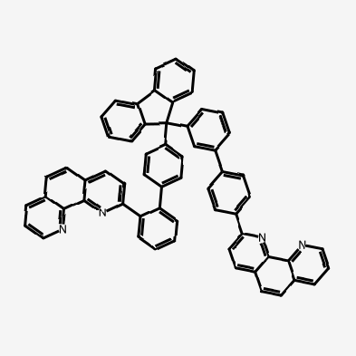 c1cc(-c2ccc(-c3ccc4ccc5cccnc5c4n3)cc2)cc(C2(c3ccc(-c4ccccc4-c4ccc5ccc6cccnc6c5n4)cc3)c3ccccc3-c3ccccc32)c1